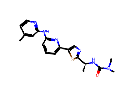 Cc1ccnc(Nc2cccc(-c3cnc([C@H](C)NC(=O)N(C)C)s3)n2)c1